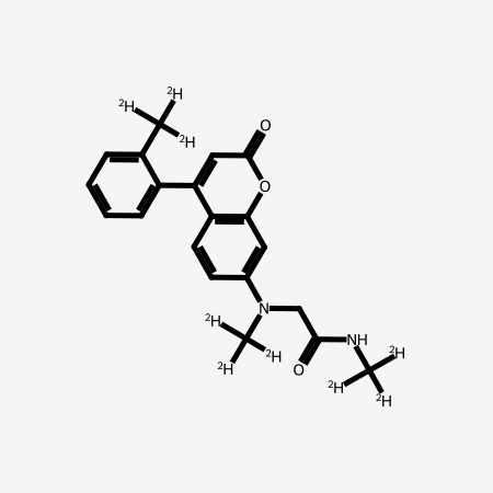 [2H]C([2H])([2H])NC(=O)CN(c1ccc2c(-c3ccccc3C([2H])([2H])[2H])cc(=O)oc2c1)C([2H])([2H])[2H]